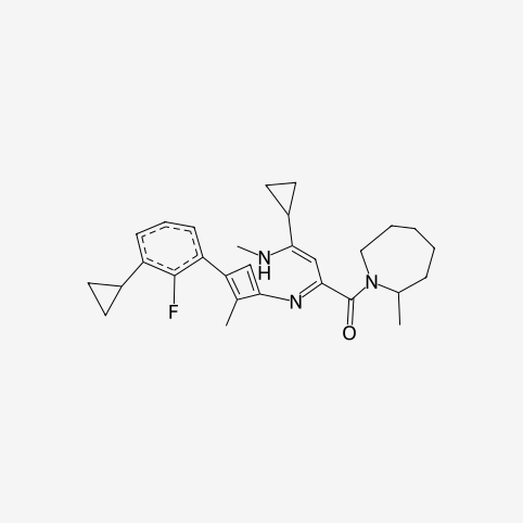 CN/C(=C\C(=N/C1=CC(c2cccc(C3CC3)c2F)=C1C)C(=O)N1CCCCCC1C)C1CC1